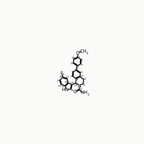 COc1ccc(-c2ccc3c(c2)CCN(C(N)=O)C3c2c[nH]c3ccc(F)cc23)cc1